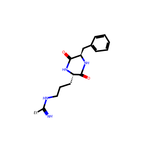 CCC(=N)NCCC[C@@H]1NC(=O)[C@@H](Cc2ccccc2)NC1=O